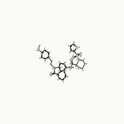 COc1ccc(CCN2C(=O)c3cccc4c(NC(=O)C5CCCCN5S(=O)(=O)c5cccs5)ccc2c34)cc1